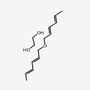 C/C=C/C=C/COC/C=C/C=C/C.OCCO